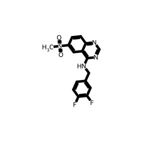 CS(=O)(=O)c1ccc2ncnc(NCc3ccc(F)c(F)c3)c2c1